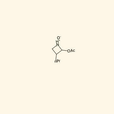 CCCC1C[NH+]([O-])C1OC(C)=O